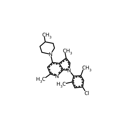 Cc1cc(N2CCC(C)CC2)c2c(C)cn(-c3c(C)cc(Cl)cc3C)c2n1